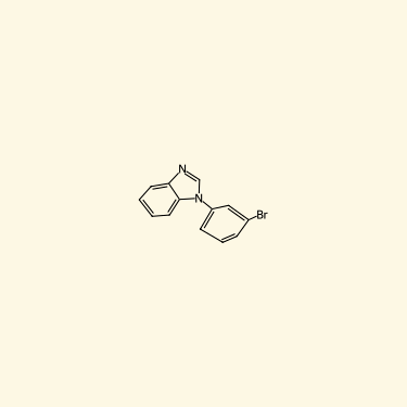 Brc1cccc(-n2cnc3ccccc32)c1